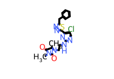 CC1C(=O)N(C)C(=O)N1CCNc1ncc(Cl)c(-c2nnc(Cc3ccccc3)s2)n1